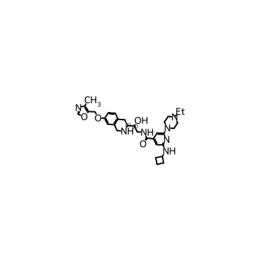 CCN1CCN(c2cc(C(=O)NC[C@@H](O)[C@@H]3Cc4ccc(OCc5ocnc5C)cc4CN3)cc(NC3CCC3)n2)CC1